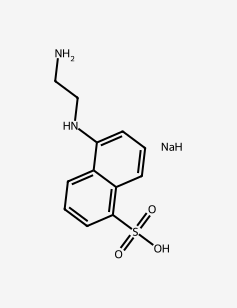 NCCNc1cccc2c(S(=O)(=O)O)cccc12.[NaH]